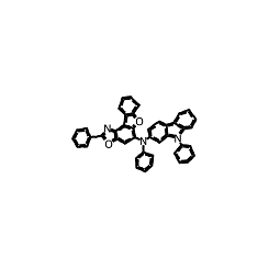 c1ccc(-c2nc3c(cc(N(c4ccccc4)c4ccc5c6ccccc6n(-c6ccccc6)c5c4)c4oc5ccccc5c43)o2)cc1